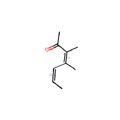 C/C=C\C(C)=C(\C)C(C)=O